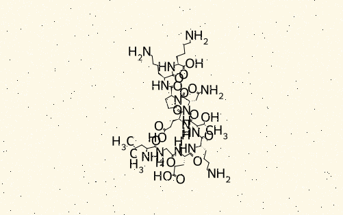 CC(C)C[C@H](N)C(=O)NCC(=O)N[C@@H](CCC(=O)O)C(=O)N[C@@H](CCCCN)C(=O)N[C@H](C(=O)N[C@@H](CCC(=O)O)C(=O)N[C@@H](CC(N)=O)C(=O)N1CCC[C@H]1C(=O)N[C@@H](CCCCN)C(=O)N[C@@H](CCCCN)C(=O)O)[C@@H](C)O